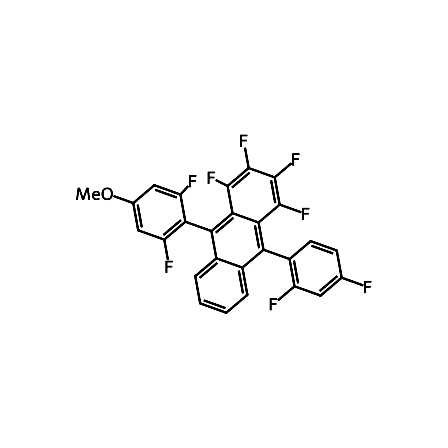 COc1cc(F)c(-c2c3ccccc3c(-c3ccc(F)cc3F)c3c(F)c(F)c(F)c(F)c23)c(F)c1